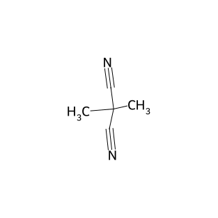 CC(C)(C#N)C#N